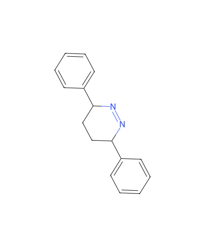 c1ccc(C2CCC(c3ccccc3)N=N2)cc1